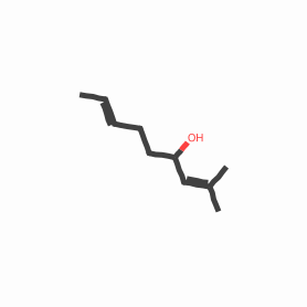 CC=CCCC(O)C=C(C)C